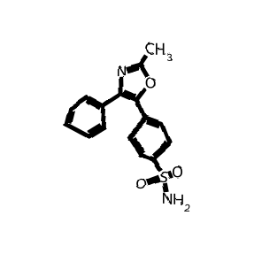 Cc1nc(-c2ccccc2)c(-c2ccc(S(N)(=O)=O)cc2)o1